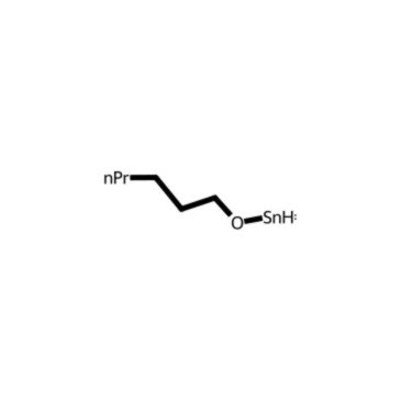 CCCCCC[O][SnH]